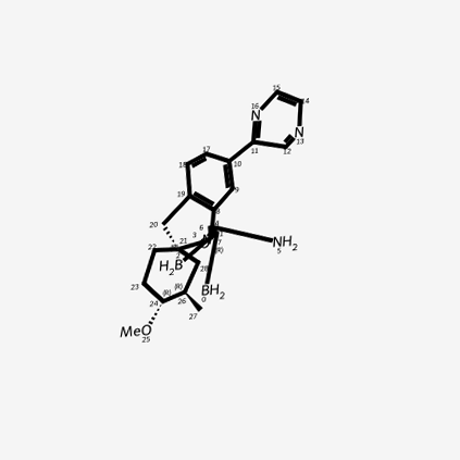 BC1(B)OC(N)=N[C@]12c1cc(-c3cnccn3)ccc1C[C@]21CC[C@@H](OC)[C@H](C)C1